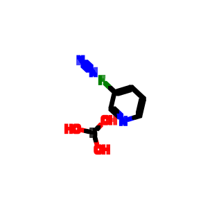 Fc1cccnc1.N#N.OB(O)O